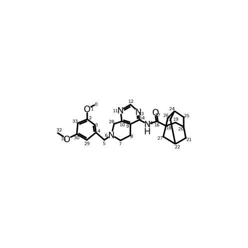 COc1cc(CN2CCc3c(ncnc3NC(=O)C34CC5CC(CC(C5)C3)C4)C2)cc(OC)c1